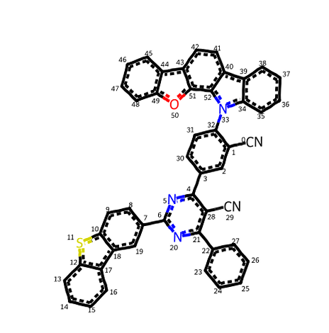 N#Cc1cc(-c2nc(-c3ccc4sc5ccccc5c4c3)nc(-c3ccccc3)c2C#N)ccc1-n1c2ccccc2c2ccc3c4ccccc4oc3c21